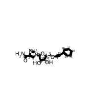 NC(=O)c1cn([C@@H]2O[C@H](COC#Cc3ccccc3)[C@@H](O)[C@H]2O)cn1